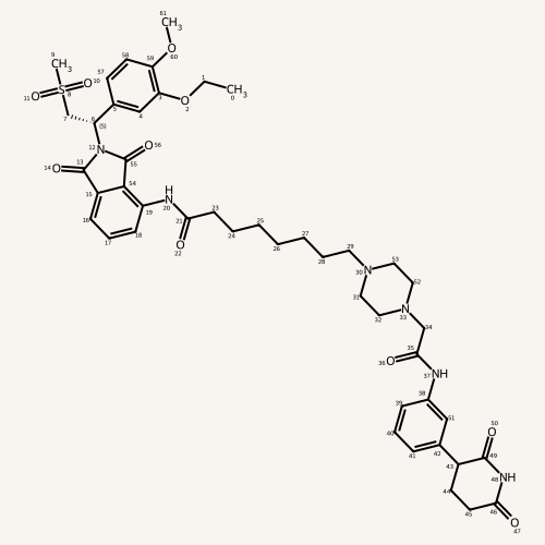 CCOc1cc([C@@H](CS(C)(=O)=O)N2C(=O)c3cccc(NC(=O)CCCCCCCN4CCN(CC(=O)Nc5cccc(C6CCC(=O)NC6=O)c5)CC4)c3C2=O)ccc1OC